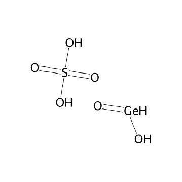 O=S(=O)(O)O.[O]=[GeH][OH]